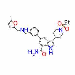 CCS(=O)(=O)N1CCC(c2c[nH]c3c(C(N)=O)cc(-c4cccc(CNCc5ccc(C)o5)c4)cc23)CC1